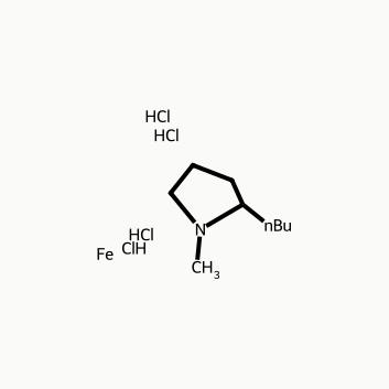 CCCCC1CCCN1C.Cl.Cl.Cl.Cl.[Fe]